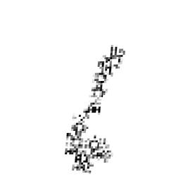 CS(=O)(=O)N1CCc2cccc(Nc3nc(Nc4ccc(N5CCC(NCCNCCC6CCN(c7ccc8c(c7)CN(C7CCC(=O)NC7=O)C8=O)CC6)CC5)c(F)c4)nc4[nH]ccc34)c21